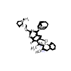 C/C(=C\C(O)=C/c1ccccc1C)c1c(Cl)cc2c(N3CC4CCC(C3)N4)nc(OC[C@@H]3CCCN3C)nc2c1F